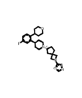 Fc1ccc(C2CCOCC2)c(C2CCN([C@@H]3CCC4(C3)CN(c3nnco3)C4)CC2)c1